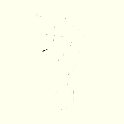 COC(=O)C(C)(C1CC2CCC1C2)[C@H](C)NNC(=O)c1ccccc1